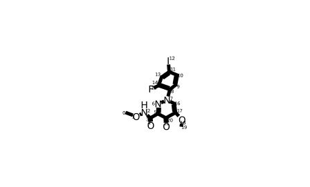 CONC(=O)c1nn(-c2ccc(I)cc2F)cc(OC)c1=O